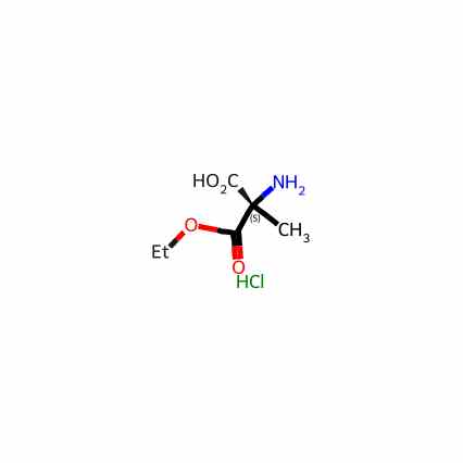 CCOC(=O)[C@@](C)(N)C(=O)O.Cl